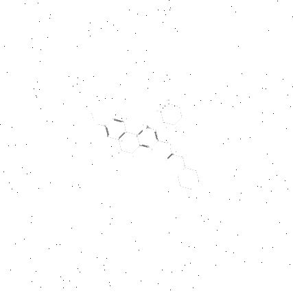 COc1ccc2c(c1)CCc1nc(NC(=O)CC3CCCCC3)c(C3CCCCC3)nc1-2